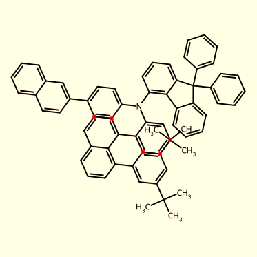 CC(C)(C)c1cc(-c2cccc3cccc(-c4ccccc4N(c4ccc(-c5ccc6ccccc6c5)cc4)c4cccc5c4-c4ccccc4C5(c4ccccc4)c4ccccc4)c23)cc(C(C)(C)C)c1